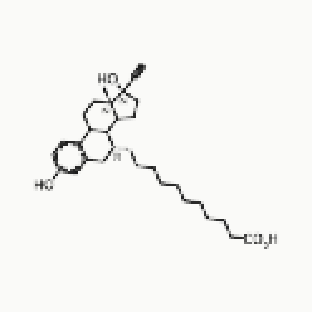 C#C[C@]1(O)CCC2C3C(CC[C@@]21C)c1ccc(O)cc1C[C@H]3CCCCCCCCCCC(=O)O